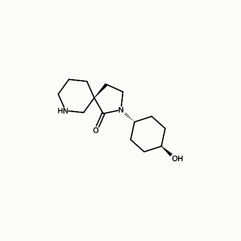 O=C1N([C@H]2CC[C@H](O)CC2)CC[C@@]12CCCNC2